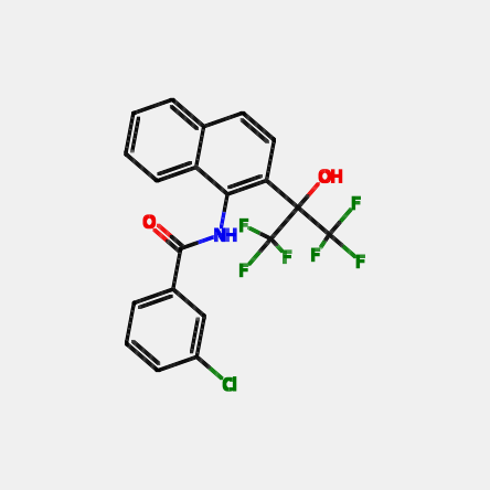 O=C(Nc1c(C(O)(C(F)(F)F)C(F)(F)F)ccc2ccccc12)c1cccc(Cl)c1